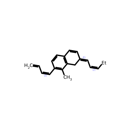 C=C/C=C\c1ccc2c(c1C)C/C(=C\C=C/CC)C=C2